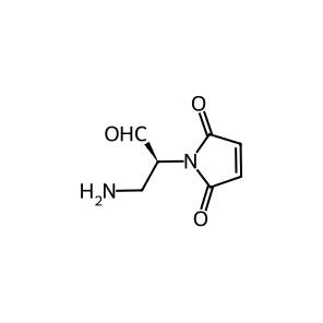 NC[C@@H](C=O)N1C(=O)C=CC1=O